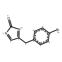 O=C1N=CC(Cc2ccc(Br)cc2)=N1